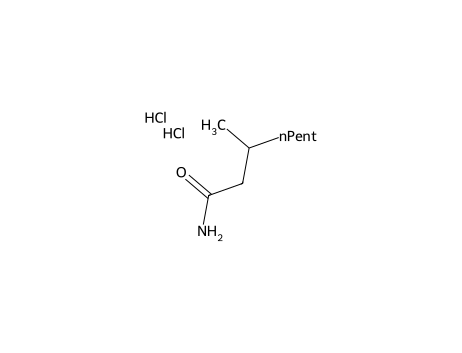 CCCCCC(C)CC(N)=O.Cl.Cl